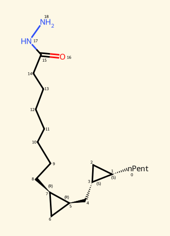 CCCCC[C@H]1C[C@H]1C[C@H]1C[C@H]1CCCCCCCC(=O)NN